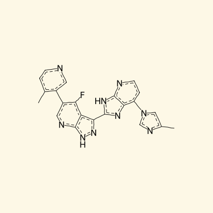 Cc1cn(-c2ccnc3[nH]c(-c4n[nH]c5ncc(-c6cnccc6C)c(F)c45)nc23)cn1